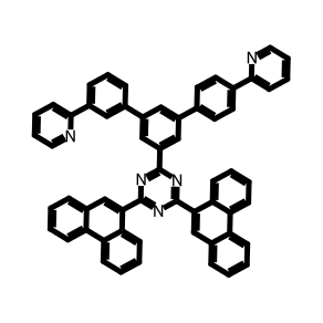 c1ccc(-c2ccc(-c3cc(-c4cccc(-c5ccccn5)c4)cc(-c4nc(-c5cc6ccccc6c6ccccc56)nc(-c5cc6ccccc6c6ccccc56)n4)c3)cc2)nc1